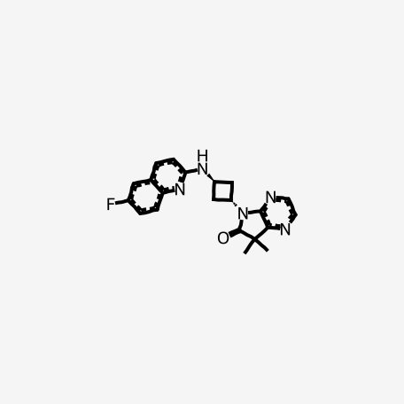 CC1(C)C(=O)N([C@H]2C[C@H](Nc3ccc4cc(F)ccc4n3)C2)c2nccnc21